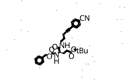 CC(C)(C)OC(=O)CC[C@@H](NC(=O)OCc1ccccc1)C(=O)NCCCC#Cc1ccc(C#N)cc1